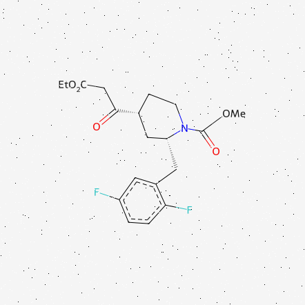 CCOC(=O)CC(=O)[C@@H]1CCN(C(=O)OC)[C@H](Cc2cc(F)ccc2F)C1